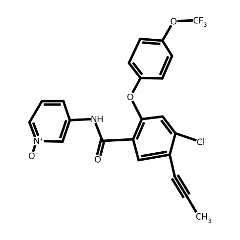 CC#Cc1cc(C(=O)Nc2ccc[n+]([O-])c2)c(Oc2ccc(OC(F)(F)F)cc2)cc1Cl